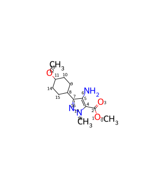 COC(=O)c1c(N)c(C2CCC(OC)CC2)nn1C